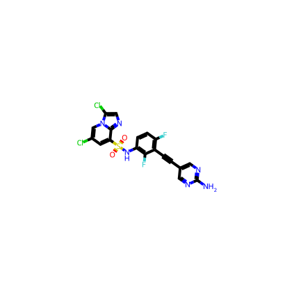 Nc1ncc(C#Cc2c(F)ccc(NS(=O)(=O)c3cc(Cl)cn4c(Cl)cnc34)c2F)cn1